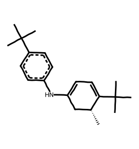 C[C@@H]1CC(Nc2ccc(C(C)(C)C)cc2)=CC=C1C(C)(C)C